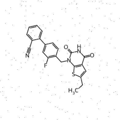 CCc1cc2c(=O)[nH]c(=O)n(Cc3ccc(-c4ccccc4C#N)cc3F)c2s1